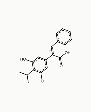 CC(C)c1c(O)cc(/C(=C/c2ccccc2)C(=O)O)cc1O